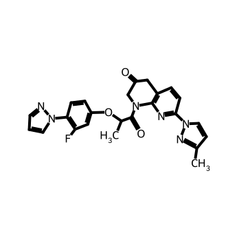 Cc1ccn(-c2ccc3c(n2)N(C(=O)C(C)Oc2ccc(-n4cccn4)c(F)c2)CC(=O)C3)n1